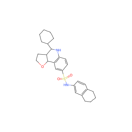 O=S(=O)(Nc1ccc2c(c1)CCCC2)c1ccc2c(c1)C1OCCC1C(C1CCCCC1)N2